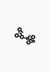 C1=CC2c3ccccc3C3(c4ccccc4Oc4cc(-c5ccc6c7ccccc7n7c8ccccc8nc7c6c5)ccc43)C2C=C1